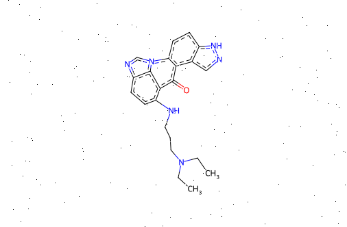 CCN(CC)CCCNc1ccc2ncn3c4ccc5[nH]ncc5c4c(=O)c1c23